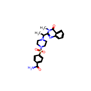 CC(c1nc2ccccc2c(=O)n1C)N1CCN(S(=O)(=O)c2ccc(C(N)=O)cc2)CC1